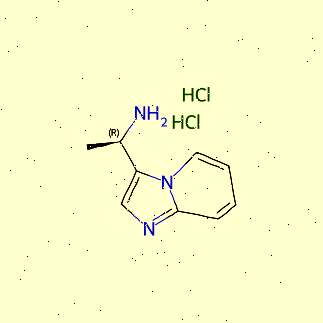 C[C@@H](N)c1cnc2ccccn12.Cl.Cl